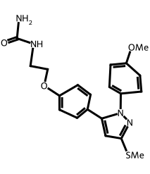 COc1ccc(-n2nc(SC)cc2-c2ccc(OCCNC(N)=O)cc2)cc1